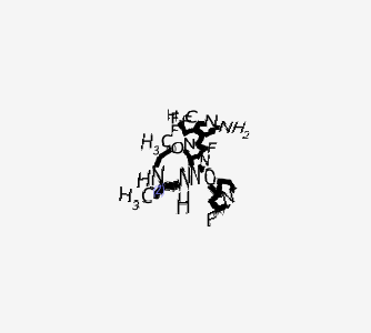 C/C=C1/CNc2nc(OCC34CCCN3C[C@H](F)C4)nc3c(F)c(-c4cc(N)nc(C)c4CC(F)(F)F)nc(c23)O[C@@H](C)CCN1